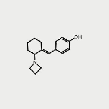 Oc1ccc(/C=C2\CCCCC2N2CCC2)cc1